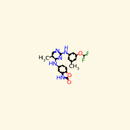 Cc1cc(Nc2ncc(C)c(Nc3ccc4oc(=O)[nH]c4c3)n2)cc(OC(F)F)c1